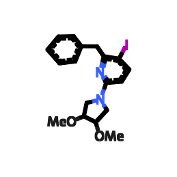 COC1CN(c2ccc(I)c(Cc3ccccc3)n2)CC1OC